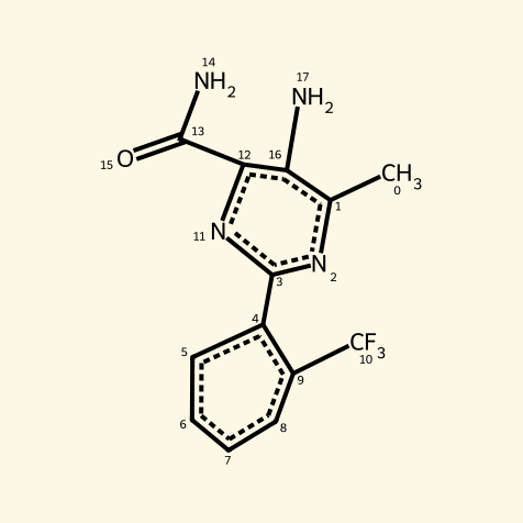 Cc1nc(-c2ccccc2C(F)(F)F)nc(C(N)=O)c1N